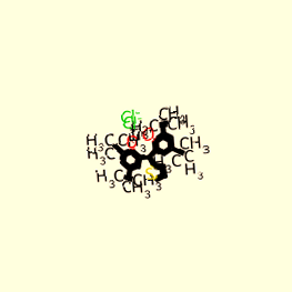 CC(C)(C)c1cc2c(c(C(C)(C)C)c1)[O][Ti+2][O]c1c(cc(C(C)(C)C)cc1C(C)(C)C)C2c1cccs1.[Cl-].[Cl-]